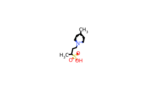 Cc1cc[n+](CCC(C)S(=O)(=O)O)cc1